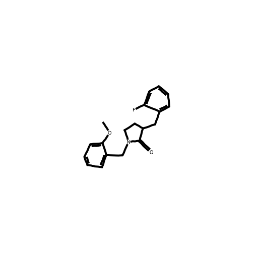 COc1ccccc1CN1CCC(Cc2ccccc2F)C1=O